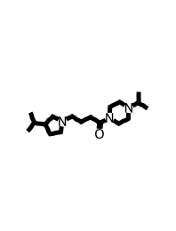 CC(C)C1CCN(CCCC(=O)N2CCN(C(C)C)CC2)C1